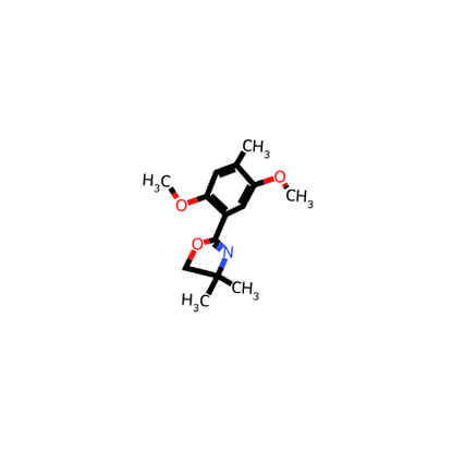 COc1cc(C2=NC(C)(C)CO2)c(OC)cc1C